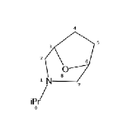 CC(C)N1CC2CCC(C1)O2